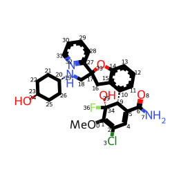 COC1=C(Cl)C=C(C(N)=O)[C@@H](c2cccc3c2CC(CN[C@H]2CC[C@H](O)CC2)(c2ccccn2)O3)[C@]1(O)F